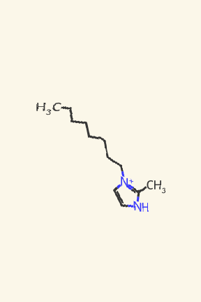 CCCCCCCC[n+]1cc[nH]c1C